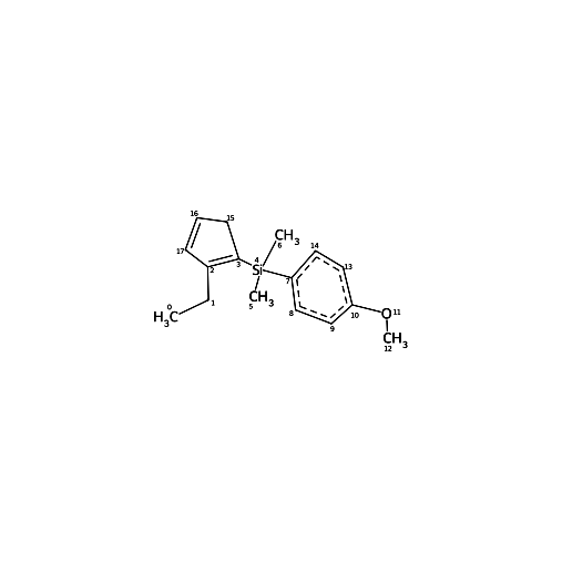 CCC1=C([Si](C)(C)c2ccc(OC)cc2)CC=C1